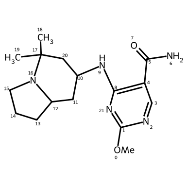 COc1ncc(C(N)=O)c(NC2CC3CCCN3C(C)(C)C2)n1